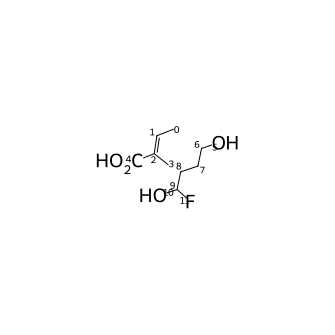 CC=C(C)C(=O)O.OCCCC(O)F